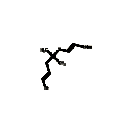 CC/C=C/CC(C)(C)[N]/C=C/CCCCCC